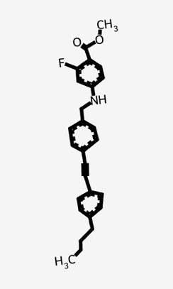 CCCCc1ccc(C#Cc2ccc(CNc3ccc(C(=O)OC)c(F)c3)cc2)cc1